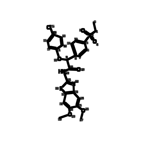 CCS(=O)(=O)c1ccc(C(Oc2ccc(Cl)cc2)C(=O)Nc2nc3cc(OC)c(OC)cc3s2)cc1